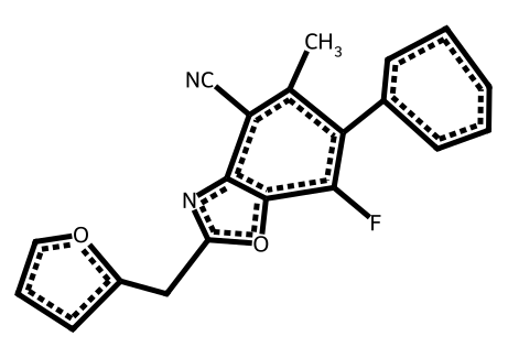 Cc1c(-c2ccccc2)c(F)c2oc(Cc3ccco3)nc2c1C#N